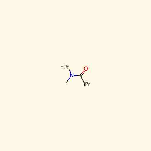 [CH2]CCN(C)C(=O)C(C)C